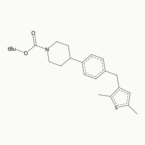 Cc1cc(Cc2ccc(C3CCN(C(=O)OC(C)(C)C)CC3)cc2)c(C)s1